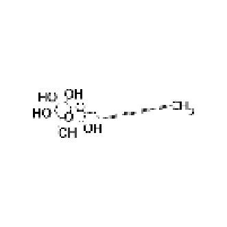 CC#CC#CC#CC#CCCC([CH]O)OC1O[C@H](CO)[C@@H](O)[C@H](O)[C@H]1O